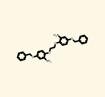 Nc1cc(OCc2ccccc2)ccc1OCCOc1ccc(OCc2ccccc2)cc1N